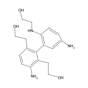 Nc1ccc(NCCO)c(-c2c(CCO)ccc(N)c2CCO)c1